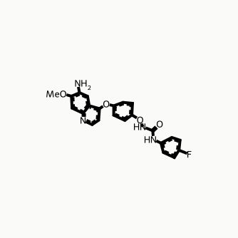 COc1cc2nccc(Oc3ccc(ONC(=O)Nc4ccc(F)cc4)cc3)c2cc1N